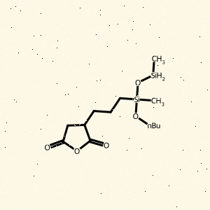 CCCCO[Si](C)(CCCC1CC(=O)OC1=O)O[SiH2]C